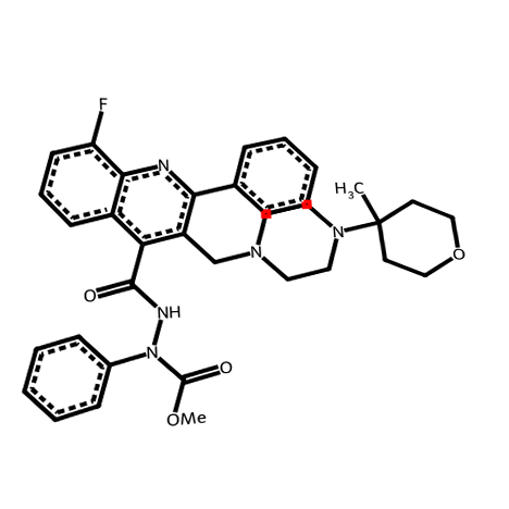 COC(=O)N(NC(=O)c1c(CN2CCN(C3(C)CCOCC3)CC2)c(-c2ccccc2)nc2c(F)cccc12)c1ccccc1